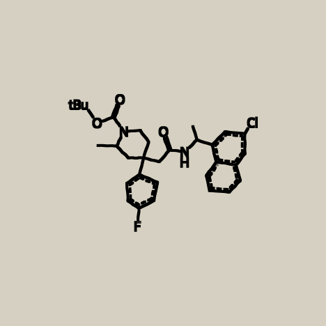 CC(NC(=O)CC1(c2ccc(F)cc2)CCN(C(=O)OC(C)(C)C)C(C)C1)c1cc(Cl)cc2ccccc12